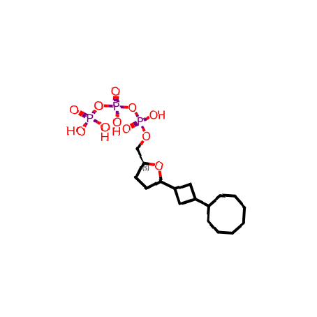 O=P(O)(O)OP(=O)(O)OP(=O)(O)OC[C@@H]1CCC(C2CC(C3CCCCCCC3)C2)O1